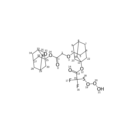 O=C(COC12CC3CC(C1)CC(OC(=O)C(F)(F)SOOO)(C3)C2)OC12CC3CC(C1)C(=O)C(C3)C2